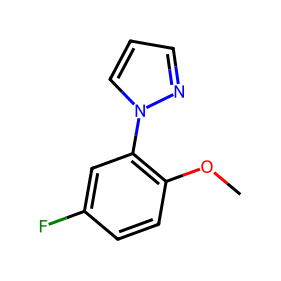 COc1ccc(F)cc1-n1cccn1